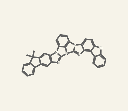 CC1(C)c2ccccc2-c2cc3nc4n(c3cc21)c1cccc2c1n4c1nc3c4c(ccc3n21)oc1ccccc14